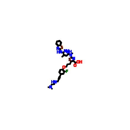 C/C(=C/C(=N)N(C)c1nc(C(=O)O)c(CCCOc2ccc(C#CCNCCN(C)C)cc2F)s1)C(=N)Nc1nc2ccccc2s1